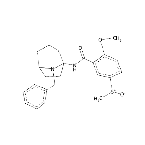 COc1ccc([S+](C)[O-])cc1C(=O)NC12CCCC(CC1)N2Cc1ccccc1